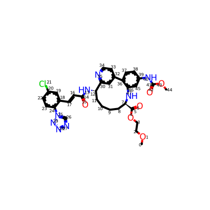 COCCOC(=O)[C@H]1CCCC[C@H](NC(=O)/C=C/c2cc(Cl)ccc2-n2cnnn2)c2cc(ccn2)-c2ccc(NC(=O)OC)cc2N1